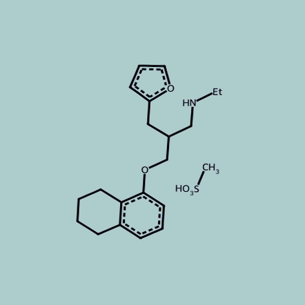 CCNCC(COc1cccc2c1CCCC2)Cc1ccco1.CS(=O)(=O)O